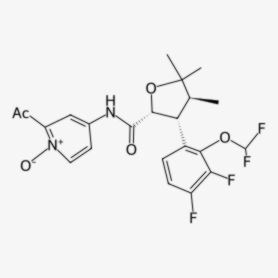 CC(=O)c1cc(NC(=O)[C@@H]2OC(C)(C)[C@@H](C)[C@@H]2c2ccc(F)c(F)c2OC(F)F)cc[n+]1[O-]